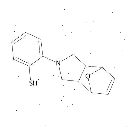 Sc1ccccc1N1CC2C3C=CC(O3)C2C1